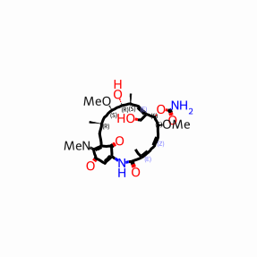 CNC1=C2C[C@@H](C)C[C@H](OC)[C@H](O)[C@@H](C)/C=C(\CO)[C@H](OC(N)=O)[C@@H](OC)/C=C\C=C(/C)C(=O)NC(=CC1=O)C2=O